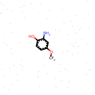 Nc1cc(OC(F)(F)F)ccc1O